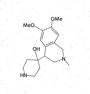 COc1cc2c(cc1OC)C(C1(O)CCNCC1)CN(C)C2